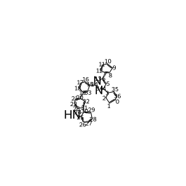 C1=CCC(c2cc(-c3ccccc3)nc(-c3cccc(-c4ccc5[nH]c6ccccc6c5c4)c3)n2)C=C1